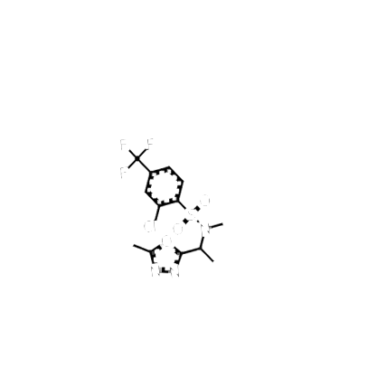 Cc1nnc(C(C)N(C)S(=O)(=O)c2ccc(C(F)(F)F)cc2Cl)o1